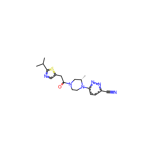 CC(C)c1ncc(CC(=O)N2CCN(c3ccc(C#N)nn3)[C@@H](C)C2)s1